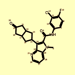 Cn1c(C(=O)Nc2ccc(F)c(Cl)c2)c(C2CC3CC(=O)CC3C2)c2ncccc21